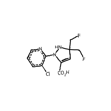 O=C(O)C1=CC(CF)(CF)NN1c1ncccc1Cl